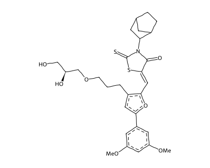 COc1cc(OC)cc(-c2cc(CCCOC[C@@H](O)CO)c(/C=C3\SC(=S)N(C4CC5CCC4C5)C3=O)o2)c1